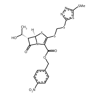 CSc1nnc(SCSC2=C(C(=O)OCc3ccc([N+](=O)[O-])cc3)N3C(=O)[C@H](C(C)O)[C@H]3S2)s1